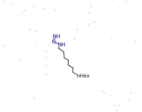 CCCCCCCCCCCCCNN=N